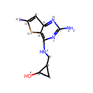 Nc1nc(NCC2CC2O)c2sc(I)cc2n1